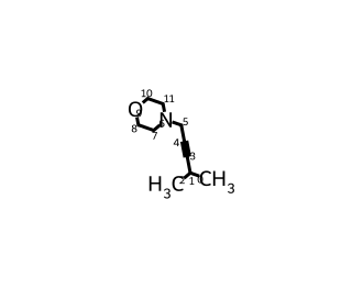 CC(C)C#CCN1CCOCC1